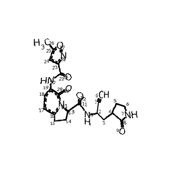 C#CC(CC1CCNC1=O)NC(=O)C1CCc2ccc(NC(=O)c3cc(C)on3)c(=O)n21